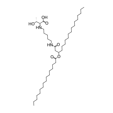 CCCCCCCCCCCCCCCC(=O)OC(CCCCCCCCCCCCCCC)CC(=O)NCCCCCN[C@H](C(=O)O)[C@@H](C)O